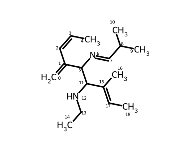 C=C(/C=C\C)C(/N=C/C(C)C)C(NCC)/C(C)=C/C